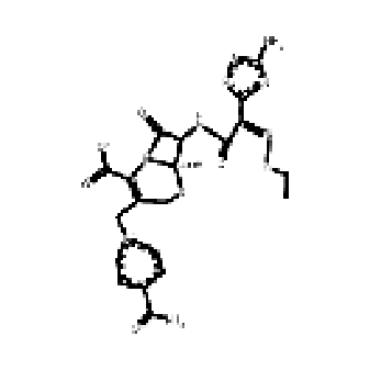 CCO/N=C(\C(=O)NC1C(=O)N2C(C(=O)[O-])=C(C[n+]3ccc(C(N)=O)cc3)CS[C@H]12)c1nsc(N)n1